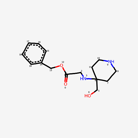 O=C(CNC1(CO)CCNCC1)OCc1ccccc1